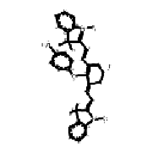 CCN1/C(=C/C=C2\CCCC(/C=C/C3=[N+](CC)c4ccccc4C3(C)C)=C2Oc2ccc(N)cc2)C(C)(C)c2ccccc21.[I-]